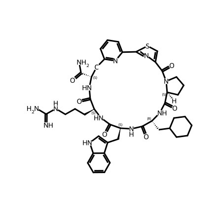 N=C(N)NCCC[C@@H]1NC(=O)[C@H](Cc2c[nH]c3ccccc23)NC(=O)[C@@H](CC2CCCCC2)NC(=O)[C@@H]2CCCN2C(=O)c2csc(n2)-c2cccc(n2)C[C@@H](C(N)=O)NC1=O